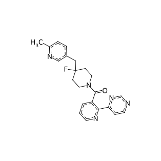 Cc1ccc(CC2(F)CCN(C(=O)c3cccnc3-c3ccncn3)CC2)cn1